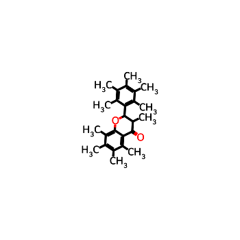 Cc1c(C)c(C)c(C2Oc3c(C)c(C)c(C)c(C)c3C(=O)C2C)c(C)c1C